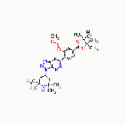 COCOc1cc(B2OC(C)(C)C(C)(C)O2)ccc1-c1cc2nnn(C3CC(C)(C)NC(C)(C)C3)c2nn1